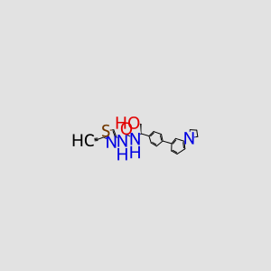 C#Cc1nc(NC(=O)N[C@@H](CO)c2ccc(-c3cccc(N4CCC4)c3)cc2)cs1